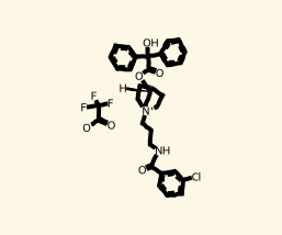 O=C(NCCC[N+]12CCC(CC1)[C@@H](OC(=O)C(O)(c1ccccc1)c1ccccc1)C2)c1cccc(Cl)c1.O=C([O-])C(F)(F)F